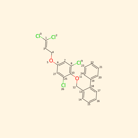 ClC(Cl)=CCOc1cc(Cl)c(OCc2ccccc2-c2ccccc2)c(Cl)c1